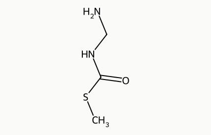 CSC(=O)NCN